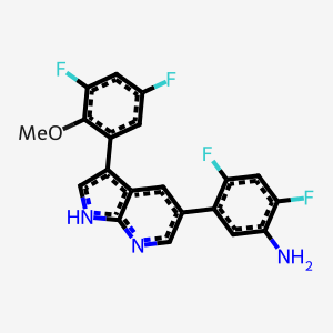 COc1c(F)cc(F)cc1-c1c[nH]c2ncc(-c3cc(N)c(F)cc3F)cc12